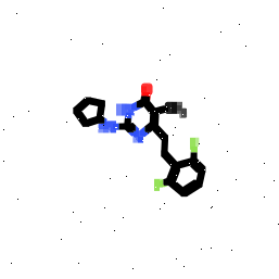 Cc1c(CCc2c(F)cccc2F)nc(NC2CCCC2)[nH]c1=O